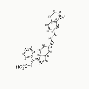 O=C(O)CC(c1ccncc1)n1ncc2cc(OCCc3ccc4c(n3)NCCC4)ccc21